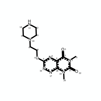 Cn1c(=O)c2nc(OCCN3CCNCC3)nnc2n(C)c1=O